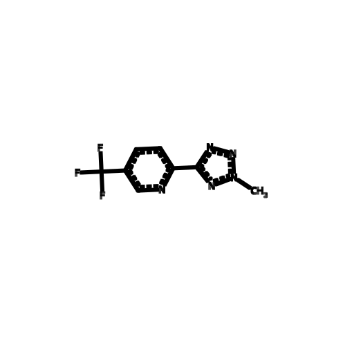 Cn1nnc(-c2ccc(C(F)(F)F)cn2)n1